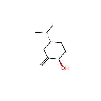 C=C1C[C@H](C(C)C)CC[C@H]1O